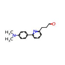 CN(C)c1ccc(-c2cccc(CCC=O)n2)cc1